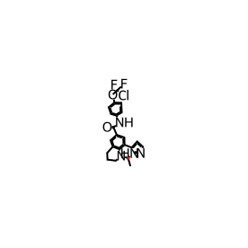 CC(C)N1CCCc2cc(C(=O)Nc3ccc(OC(F)(F)Cl)cc3)cc(-c3ccn[nH]3)c21